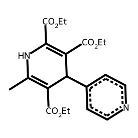 CCOC(=O)C1=C(C(=O)OCC)C(c2ccncc2)C(C(=O)OCC)=C(C)N1